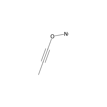 CC#CO[N]